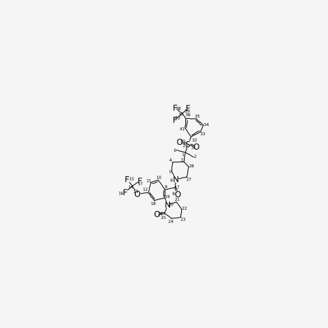 CC(C)(C1CCN(C(=O)c2ccc(OC(F)(F)F)cc2N2CCCCC2=O)CC1)S(=O)(=O)c1cccc(C(F)(F)F)c1